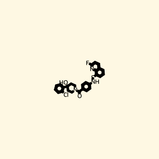 O=C(c1ccc(NSc2cccc3ccc(F)nc23)cc1)N1CCC(O)(c2ccccc2Cl)CC1